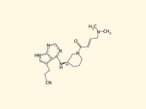 CN(C)CC=CC(=O)N1CCC[C@@H](Nc2ncnc3[nH]cc(CCC#N)c23)C1